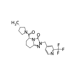 C[C@H]1CCN(C(=O)[C@@H]2CCCc3nn(Cc4ccnc(C(F)(F)F)c4)c(=O)n32)C1